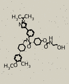 COc1ccc([C@H]2CC[C@H](CN(c3cccc(-c4cnn(C(C)C)c4)c3)C(=O)[C@H]3CC[C@H](OC(=O)NCCO)CC3)CC2)cc1C